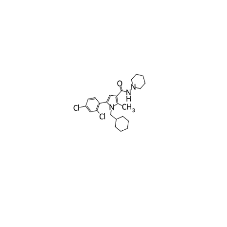 Cc1c(C(=O)NN2CCCCC2)cc(-c2ccc(Cl)cc2Cl)n1CC1CCCCC1